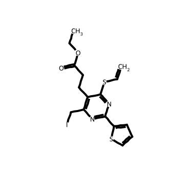 C=CSc1nc(-c2cccs2)nc(CI)c1CCC(=O)OCC